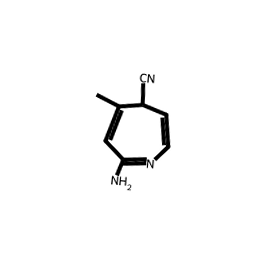 CC1=CC(N)=NC=CC1C#N